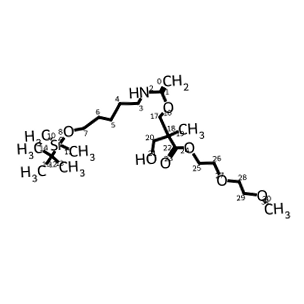 C=C(NCCCCCO[Si](C)(C)C(C)(C)C)OCC(C)(CO)C(=O)OCCOCCOC